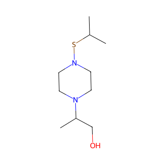 CC(C)SN1CCN(C(C)CO)CC1